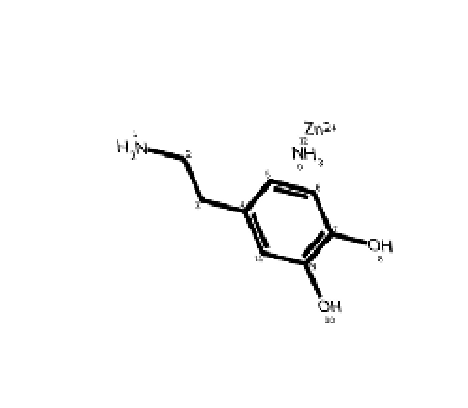 N.NCCc1ccc(O)c(O)c1.[Zn+2]